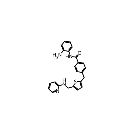 Nc1ccccc1NC(=O)c1ccc(Cc2ccc(CNc3ccccn3)s2)cc1